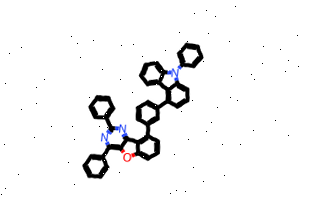 c1ccc(-c2nc(-c3ccccc3)c3oc4cccc(-c5cccc(-c6cccc7c6c6ccccc6n7-c6ccccc6)c5)c4c3n2)cc1